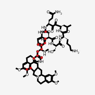 CCC1CN2CCc3cc(OC)c(OC)cc3C2CC1CC1c2cc(OC)c(OC)cc2CCN1C(=O)OCc1ccc(NC(=O)N[C@@H](CCC(N)=O)C(=O)C(=O)[C@H](CC(C)C)NC(=O)[C@H](CCCCN)NC(=O)[C@H](CO)NC(=O)[C@H](CO)NCC(=O)[C@H](Cc2c[nH]cn2)NC)cc1